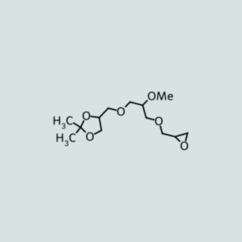 COC(COCC1CO1)COCC1COC(C)(C)O1